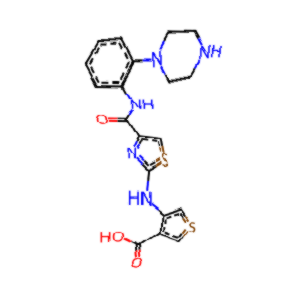 O=C(Nc1ccccc1N1CCNCC1)c1csc(Nc2cscc2C(=O)O)n1